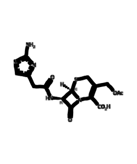 CC(=O)OCC1=C(C(=O)O)N2C(=O)[C@@H](NC(=O)Cc3csc(N)n3)[C@H]2SC1